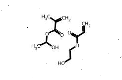 C=C(C)C(=O)OC(C)O.C=CC(=O)OCCO